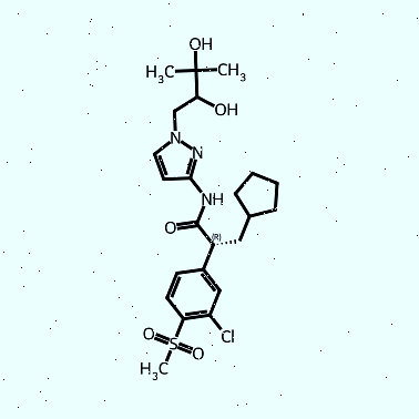 CC(C)(O)C(O)Cn1ccc(NC(=O)[C@H](CC2CCCC2)c2ccc(S(C)(=O)=O)c(Cl)c2)n1